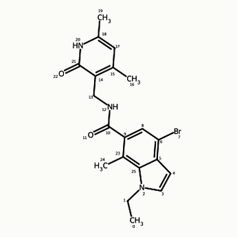 CCn1ccc2c(Br)cc(C(=O)NCc3c(C)cc(C)[nH]c3=O)c(C)c21